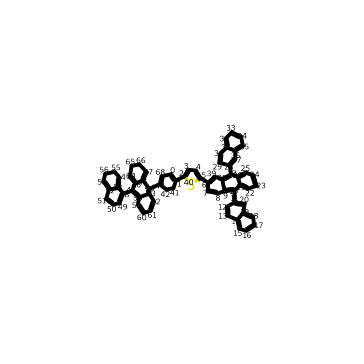 C1=C(c2ccc(-c3ccc4c(-c5ccc6ccccc6c5)c5ccccc5c(-c5ccc6ccccc6c5)c4c3)s2)CCC(c2c3c(c(-c4cccc5c4=CCCC=5)c4ccccc24)=CCCC=3)=C1